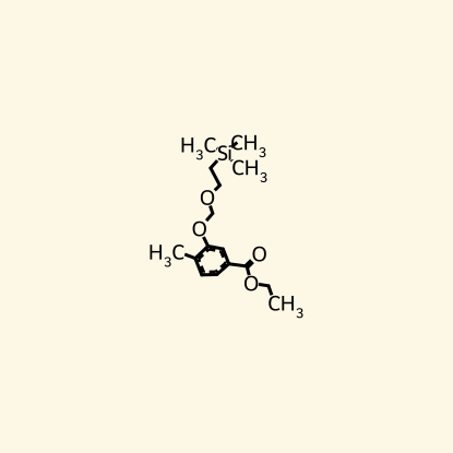 CCOC(=O)c1ccc(C)c(OCOCC[Si](C)(C)C)c1